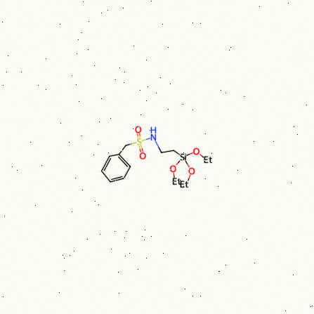 CCO[Si](CCNS(=O)(=O)Cc1ccccc1)(OCC)OCC